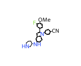 COc1ccc(-c2cc3cc(N[C@@H]4CCCNC4)ccc3n2-c2ccc(C#N)cc2)cc1F